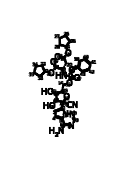 N#C[C@@]1(c2ccc3c(N)ncnn23)O[C@H](COP(=O)(N[C@@H](CC(=O)OC2CCCC2)C(=O)OC2CCCC2)Oc2ccccc2)[C@@H](O)[C@H]1O